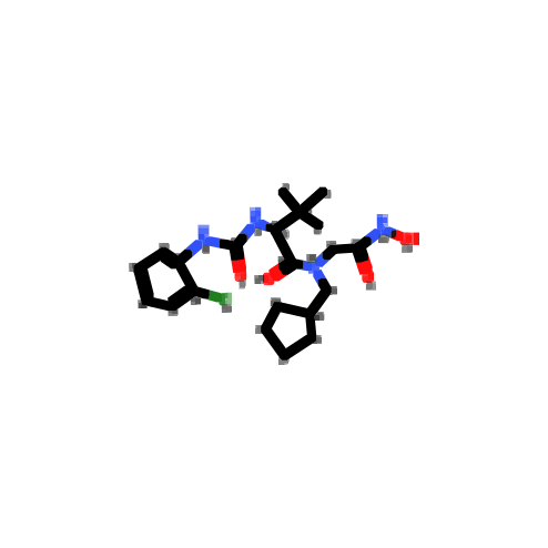 CC(C)(C)[C@H](NC(=O)Nc1ccccc1Cl)C(=O)N(CC(=O)NO)CC1CCCC1